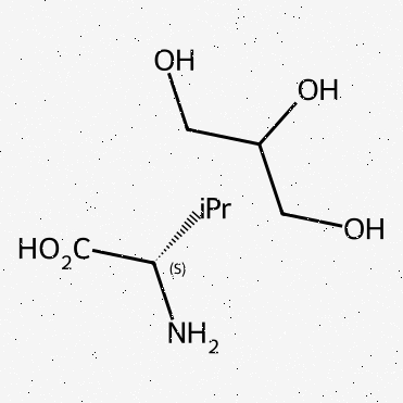 CC(C)[C@H](N)C(=O)O.OCC(O)CO